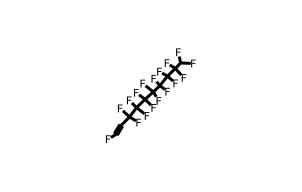 FC#CC(F)(F)C(F)(F)C(F)(F)C(F)(F)C(F)(F)C(F)(F)C(F)(F)C(F)F